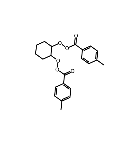 Cc1ccc(C(=O)OO[C]2CC[CH]CC2OOC(=O)c2ccc(C)cc2)cc1